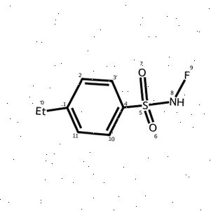 CCc1ccc(S(=O)(=O)NF)cc1